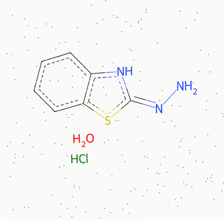 Cl.N/N=c1\[nH]c2ccccc2s1.O